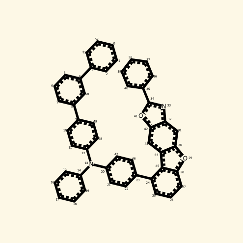 c1ccc(-c2cccc(-c3ccc(N(c4ccccc4)c4ccc(-c5cccc6oc7cc8nc(-c9ccccc9)oc8cc7c56)cc4)cc3)c2)cc1